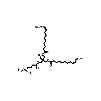 CCCCCCCC/C=C\CCCCCCCC(=O)OCC(CO)(COC(=O)CCCCCCC/C=C\CCCCCCCC)COC(=O)CCCN(C)C